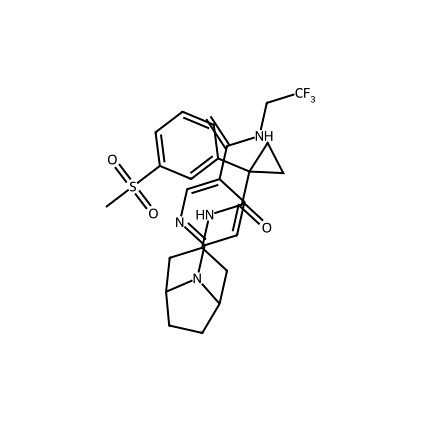 C=C(NCC(F)(F)F)c1ccc(N2C3CCC2CC(NC(=O)C2(c4cccc(S(C)(=O)=O)c4)CC2)C3)nc1